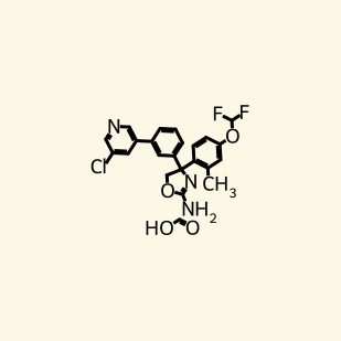 Cc1cc(OC(F)F)ccc1C1(c2cccc(-c3cncc(Cl)c3)c2)COC(N)=N1.O=CO